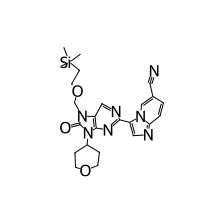 C[Si](C)(C)CCOCn1c(=O)n(C2CCOCC2)c2nc(-c3cnc4ccc(C#N)cn34)ncc21